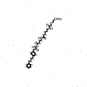 COCCOCC(=O)NCCCCCC(=O)NCCCC(=O)ONC(=O)Cc1ccc(CCCCc2ccccc2)cc1